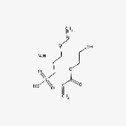 C=CC(=O)OCCO.C=COCCCS(=O)(=O)O.[NaH]